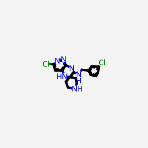 Clc1cccc(CNC2=Nc3nnc(Cl)cc3NC23CCNCC3)c1